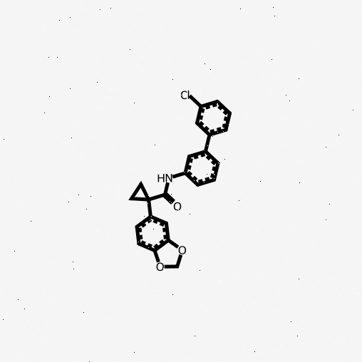 O=C(Nc1cccc(-c2cccc(Cl)c2)c1)C1(c2ccc3c(c2)OCO3)CC1